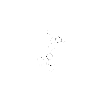 CC(C)(C)OC(=O)N1C[C@@H]2CCCN2c2cc(N3CCC4(CC3)C[C@@H](CC=O)c3ccc(F)cc34)ccc21